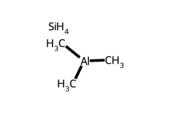 [CH3][Al]([CH3])[CH3].[SiH4]